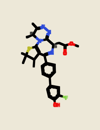 COC(=O)C[C@@H]1N=C(c2ccc(-c3ccc(O)c(F)c3)cc2)C2=C(SC(C)(C)C2C)N2C1=NN=C(C)[C@@H]2C